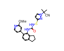 COc1cc(-c2ccc3c(c2NC(=O)NSc2ccn(C(C)(C)C#N)n2)CCC3)ccn1